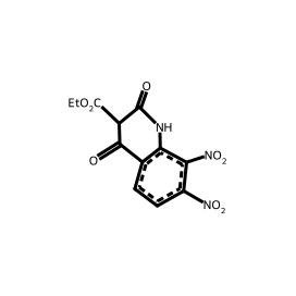 CCOC(=O)C1C(=O)Nc2c(ccc([N+](=O)[O-])c2[N+](=O)[O-])C1=O